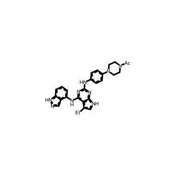 CCc1c[nH]c2nc(Nc3ccc(N4CCN(C(C)=O)CC4)cc3)nc(Nc3cccc4[nH]ncc34)c12